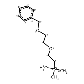 C[Si](C)(C)CCOCCOCc1ccccc1